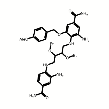 CCOC(CNc1ccc(C(N)=O)cc1N)C(CNc1c(N)cc(C(N)=O)cc1OCc1ccc(OC)cc1)OCC